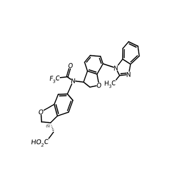 Cc1nc2ccccc2n1-c1cccc2c1OCC2N(C(=O)C(F)(F)F)c1ccc2c(c1)OC[C@H]2CC(=O)O